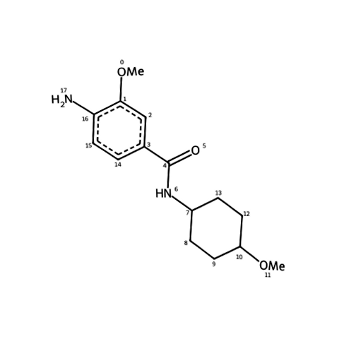 COc1cc(C(=O)NC2CCC(OC)CC2)ccc1N